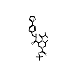 CC(C)C(=O)N1C(C)CN(C(=O)OC(C)(C)C)CC1C(=O)NCc1ccc(-c2ccco2)cc1